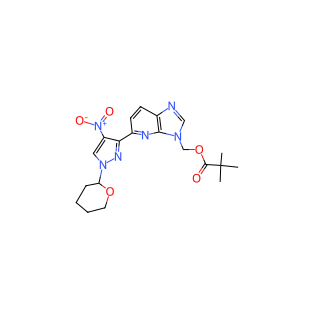 CC(C)(C)C(=O)OCn1cnc2ccc(-c3nn(C4CCCCO4)cc3[N+](=O)[O-])nc21